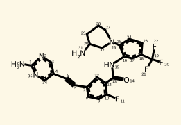 Nc1ncc(C#Cc2ccc(F)c(C(=O)Nc3cc(C(F)(F)F)ccc3N3CCCC(N)C3)c2)cn1